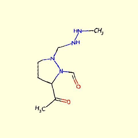 CNNCN1CCC(C(C)=O)N1C=O